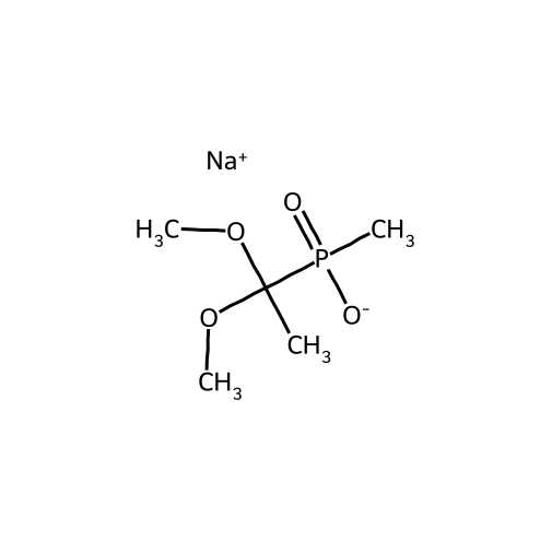 COC(C)(OC)P(C)(=O)[O-].[Na+]